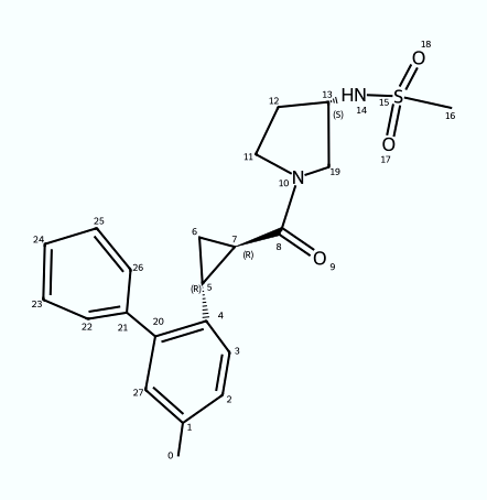 Cc1ccc([C@@H]2C[C@H]2C(=O)N2CC[C@H](NS(C)(=O)=O)C2)c(-c2ccccc2)c1